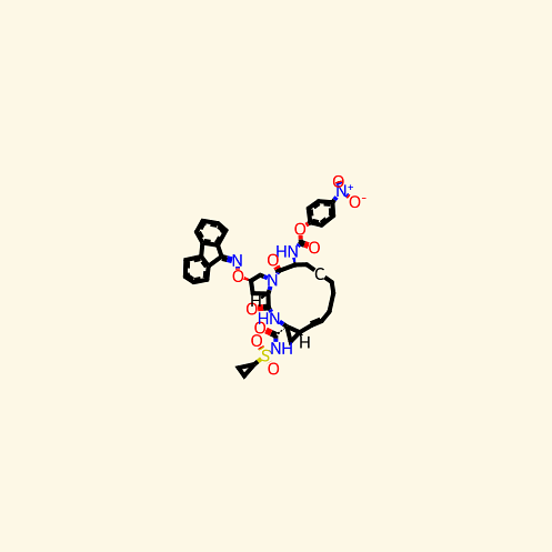 O=C(N[C@H]1CCCCC/C=C\[C@@H]2C[C@@]2(C(=O)NS(=O)(=O)C2CC2)NC(=O)[C@@H]2C[C@@H](ON=C3c4ccccc4-c4ccccc43)CN2C1=O)Oc1ccc([N+](=O)[O-])cc1